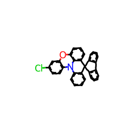 Clc1ccc2c(c1)Oc1cccc3c1N2c1ccccc1C31c2ccccc2-c2ccccc21